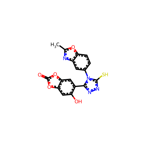 Cc1nc2cc(-n3c(S)nnc3-c3cc4oc(=O)oc4cc3O)ccc2o1